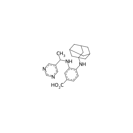 CC(Nc1cc(C(=O)O)ccc1NC12CC3CC(CC(C3)C1)C2)c1cncnc1